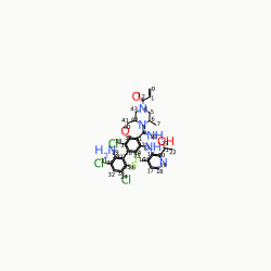 C=CC(=O)N1CC(C)N2C(=N)c3c(Nc4c(C)ccnc4C(C)O)c(F)c(-c4c(N)c(Cl)cc(Cl)c4F)c(Cl)c3OCC2C1